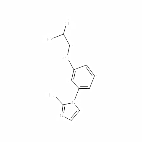 Cc1nccn1-c1cccc(OCC(C)O)c1